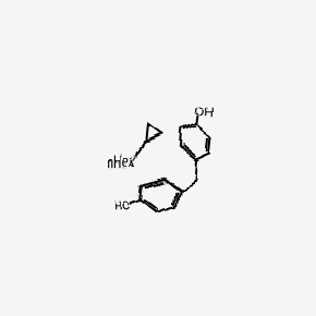 CCCCCCC1CC1.Oc1ccc(Cc2ccc(O)cc2)cc1